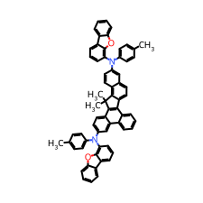 Cc1ccc(N(c2ccc3c4c(ccc3c2)-c2c(c3ccc(N(c5ccc(C)cc5)c5cccc6c5oc5ccccc56)cc3c3ccccc23)C4(C)C)c2cccc3c2oc2ccccc23)cc1